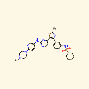 CC(=O)N1CCN(c2ccc(Nc3nccc(-c4sc(C(C)C)nc4-c4cccc(NS(=O)(=O)C5CCCCC5)c4)n3)cn2)CC1